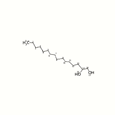 CCCCCCCCCCCCCCC(O)CO